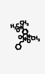 CCN(C(C)=O)c1ccc2c(c1)c(=O)n(CCC1CCCCC1)c(=O)n2CC